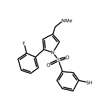 CNCc1cc(-c2ccccc2F)n(S(=O)(=O)c2cccc(S)c2)c1